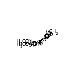 CC(C)(C)OC(=O)ON1CCC(n2cc(COc3ccc(S(C)(=O)=O)cc3)nn2)CC1